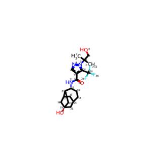 CC(C)(CO)n1ncc(C(=O)N[C@H]2CCC3CC4C[C@@](O)(C3)CC42)c1C(F)(F)F